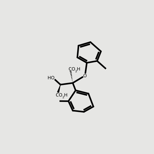 Cc1ccccc1O[C@@](C(=O)O)(c1ccccc1C)[C@H](O)C(=O)O